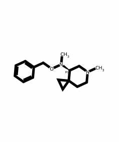 CN1CCC2(CC2)[C@@H](N(C)OCc2ccccc2)C1